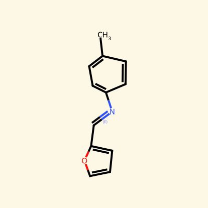 Cc1ccc(/N=C/c2ccco2)cc1